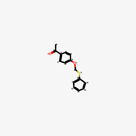 CC(=O)c1ccc(OCSc2ccccc2)cc1